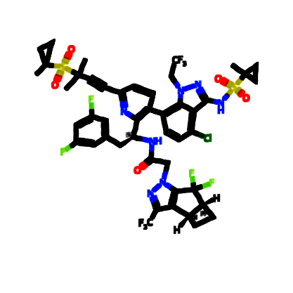 CC1(S(=O)(=O)Nc2nn(CC(F)(F)F)c3c(-c4ccc(C#CC(C)(C)S(=O)(=O)C5(C)CC5)nc4[C@H](Cc4cc(F)cc(F)c4)NC(=O)Cn4nc(C(F)(F)F)c5c4C(F)(F)[C@@H]4CC[C@H]54)ccc(Cl)c23)CC1